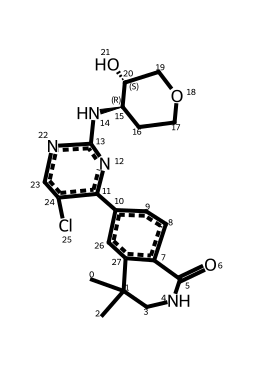 CC1(C)CNC(=O)c2ccc(-c3nc(N[C@@H]4CCOC[C@H]4O)ncc3Cl)cc21